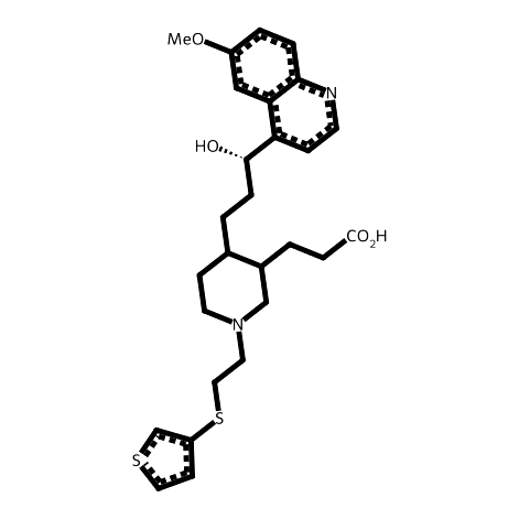 COc1ccc2nccc([C@@H](O)CCC3CCN(CCSc4ccsc4)CC3CCC(=O)O)c2c1